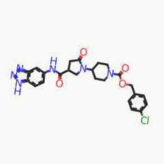 O=C(Nc1ccc2[nH]nnc2c1)C1CC(=O)N(C2CCN(C(=O)OCc3ccc(Cl)cc3)CC2)C1